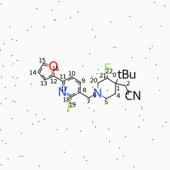 CC(C)(C)C1(CC#N)CCN(Cc2ccc(-c3ccco3)nc2F)CC1F